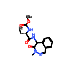 CC(C)C[C@H](NC(=O)OC(C)(C)C)C(=O)NC1C(=O)N(C)N=Cc2ccccc21